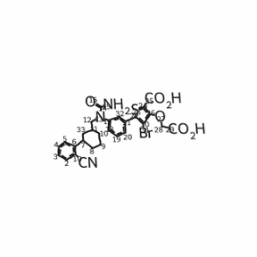 N#Cc1ccccc1C1CCCC(CN(C(N)=O)c2cccc(-c3sc(C(=O)O)c(OCC(=O)O)c3Br)c2)C1